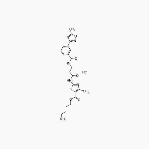 Cc1nc(-c2cccc(C(=O)NCCC(=O)Nc3nc(C)c(C(=O)OCCCCN)s3)c2)no1.Cl